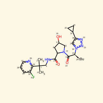 CC(C)(CNC(=O)C1CC(O)CN1C(=O)[C@@H](n1cc(C2CC2)nn1)C(C)(C)C)c1ncccc1F